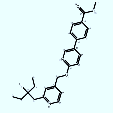 CCC(F)(CC)Cc1cc(COc2ccc(-c3ccc(C(=O)OC)cc3)cn2)ccn1